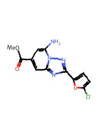 COC(=O)c1cc(N)n2nc(-c3ccc(Cl)o3)nc2c1